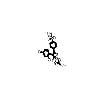 CCCC(=O)On1nc(-c2ccc(S(N)(=O)=O)cc2)c(-c2ccc(Cl)cc2Cl)c1C(F)(F)F